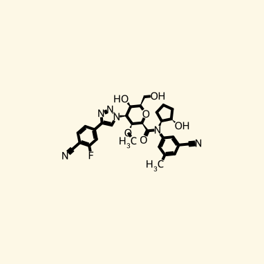 CO[C@@H]1[C@@H](n2cc(-c3ccc(C#N)c(F)c3)nn2)[C@@H](O)[C@@H](CO)O[C@H]1C(=O)N(c1cc(C)cc(C#N)c1)[C@H]1CCC[C@@H]1O